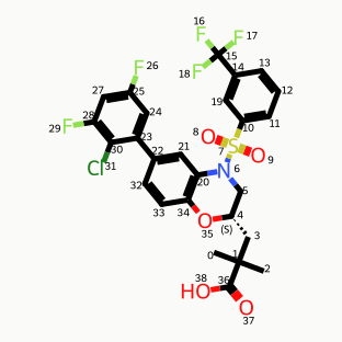 CC(C)(C[C@H]1CN(S(=O)(=O)c2cccc(C(F)(F)F)c2)c2cc(-c3cc(F)cc(F)c3Cl)ccc2O1)C(=O)O